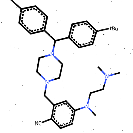 CN(C)CCN(C)c1ccc(C#N)c(CN2CCN(C(c3ccc(C(C)(C)C)cc3)c3ccc(C(C)(C)C)cc3)CC2)c1